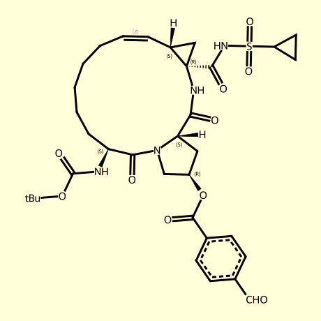 CC(C)(C)OC(=O)N[C@H]1CCCCC/C=C\[C@@H]2C[C@@]2(C(=O)NS(=O)(=O)C2CC2)NC(=O)[C@@H]2C[C@@H](OC(=O)c3ccc(C=O)cc3)CN2C1=O